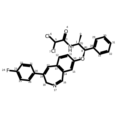 C[C@H](NC(=O)C(Cl)Cl)[C@H](Oc1ccc2c(c1)C=NCC(c1ccc(F)cc1)=C2)c1ccccc1